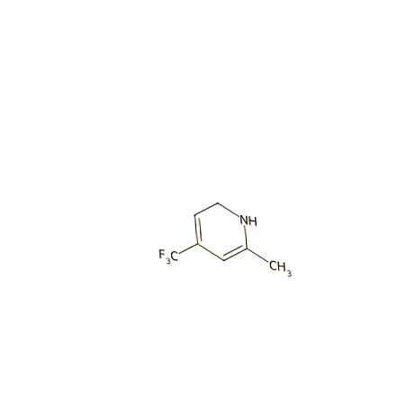 CC1=CC(C(F)(F)F)=CCN1